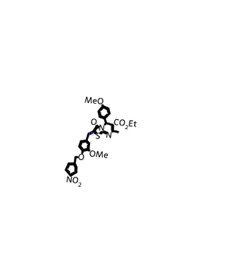 CCOC(=O)C1=C(C)N=c2s/c(=C\c3ccc(OCc4ccc([N+](=O)[O-])cc4)c(OC)c3)c(=O)n2C1c1ccc(OC)cc1